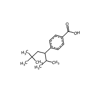 CC(C)C(CC(C)(C)C)c1ccc(C(=O)O)cc1